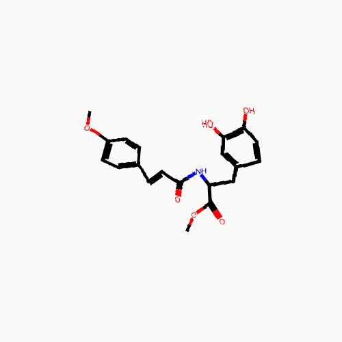 COC(=O)C(Cc1ccc(O)c(O)c1)NC(=O)C=Cc1ccc(OC)cc1